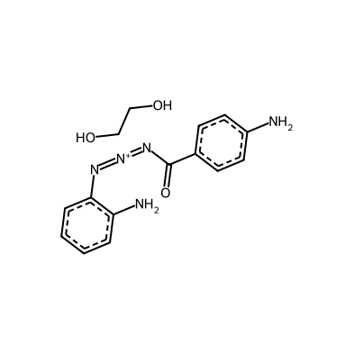 Nc1ccc(C(=O)N=[N+]=Nc2ccccc2N)cc1.OCCO